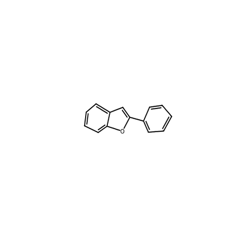 c1ccc(-c2cc3ccccc3o2)cc1